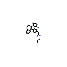 FCCCN1CC(=Cc2ccc(C3=C(c4cc(C(F)(F)F)ccc4Cl)CCCc4ccccc43)cc2)C1